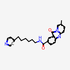 Cc1ccc2nc3ccc(C(=O)NCCCCCCc4ccncc4)cc3c(=O)n2c1